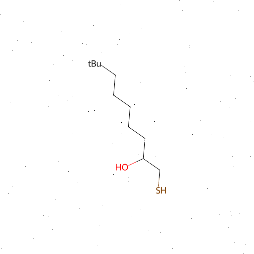 CC(C)(C)CCCCCC(O)CS